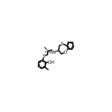 Cc1cccc(SC[C@@H](C)CN[C@@H]2COc3ccccc3SC2)c1O